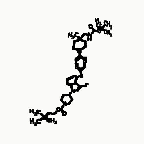 CC1(CNC(=O)OC(C)(C)C)CCN(c2cnc(Sc3cccc4c3c(F)cn4C3CCN(C(=O)OCC[Si](C)(C)C)CC3)cn2)CC1